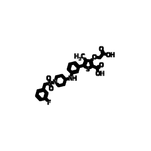 Cc1c(-c2cccc(NC3CCN(S(=O)(=O)Cc4cccc(F)c4)CC3)c2)sc(C(=O)O)c1OCC(=O)O